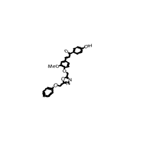 COc1cc(/C=C/C(=O)c2ccc(O)cc2)ccc1OCc1nnc(COc2ccccc2)o1